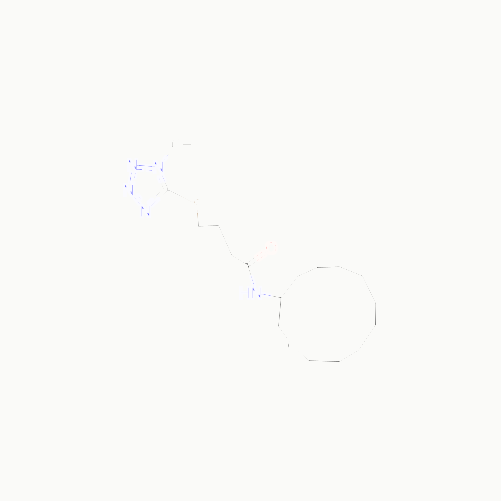 Cn1nnnc1SCCCC(=O)NC1CCCCCCCCCCC1